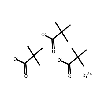 CC(C)(C)C(=O)[O-].CC(C)(C)C(=O)[O-].CC(C)(C)C(=O)[O-].[Dy+3]